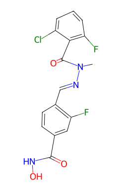 CN(N=Cc1ccc(C(=O)NO)cc1F)C(=O)c1c(F)cccc1Cl